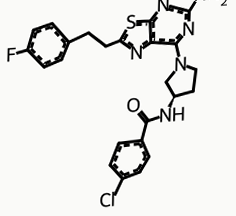 Nc1nc(N2CC[C@@H](NC(=O)c3ccc(Cl)cc3)C2)c2nc(CCc3ccc(F)cc3)sc2n1